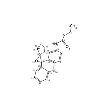 CCCC(=O)Nc1ccc2c(c1)C1(OC13SCCCS3)c1ccccc1S2